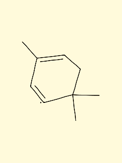 CC1=CCC(C)(C)[C]=C1